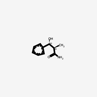 C[C@@H](C(N)=O)[C@@H](O)c1ccccc1